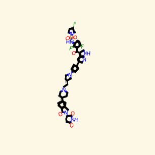 O=C1CCC(N2Cc3cc(C4CCN(CC[C@H]5CCN(c6ccc(-c7cnc8[nH]cc(C(=O)c9c(F)ccc(NS(=O)(=O)N%10CC[C@@H](F)C%10)c9F)c8c7)cc6)C5)CC4)ccc3C2=O)C(=O)N1